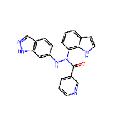 O=C(c1cccnc1)N(Nc1ccc2cn[nH]c2c1)c1cccc2cc[nH]c12